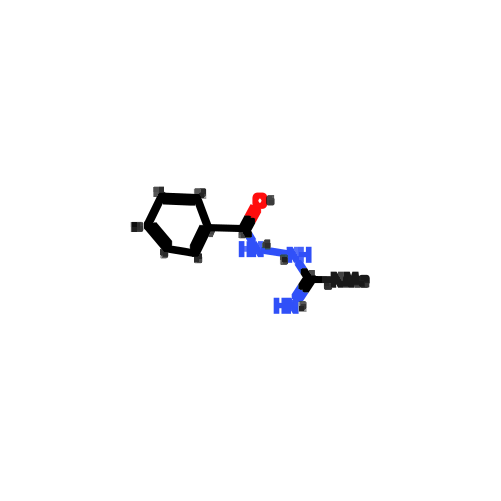 CNC(=N)NNC(=O)c1ccccc1